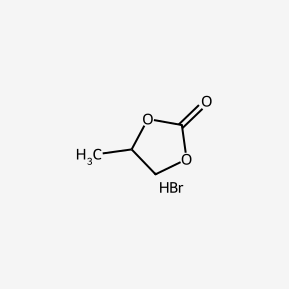 Br.CC1COC(=O)O1